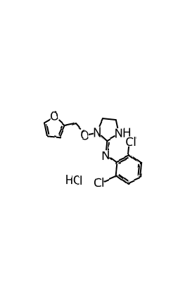 Cl.Clc1cccc(Cl)c1/N=C1\NCCN1OCc1ccco1